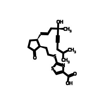 CC(C)CC#C[C@@](C)(O)CC=C[C@H]1CCC(=O)[C@@H]1CCSc1nc(C(=O)O)cs1